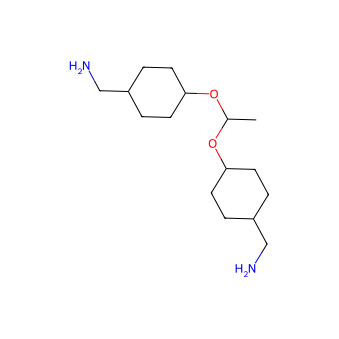 CC(OC1CCC(CN)CC1)OC1CCC(CN)CC1